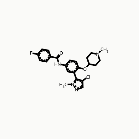 CN1CCC(Oc2ccc(NC(=O)c3ccc(F)cc3)cc2-c2c(Cl)cnn2C)CC1